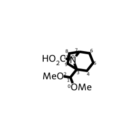 COC(OC)C12CCCC(CC1)N2C(=O)O